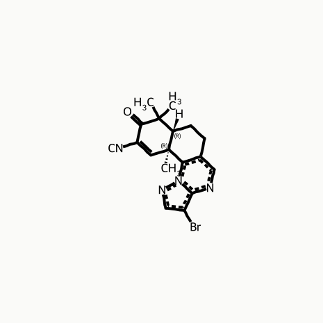 [C-]#[N+]C1=C[C@]2(C)c3c(cnc4c(Br)cnn34)CC[C@H]2C(C)(C)C1=O